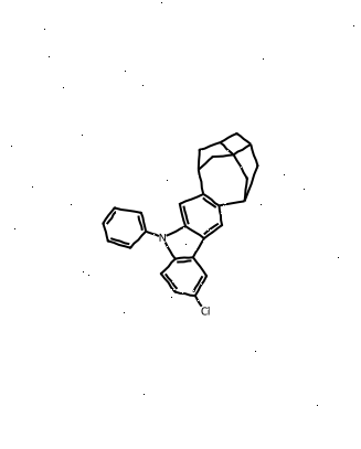 Clc1ccc2c(c1)c1cc3c(cc1n2-c1ccccc1)C1CC2CC4CC3CC42C1